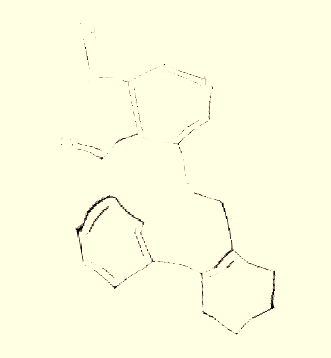 COc1cncc(OCC2=C(c3ccccc3)CCCC2)c1C=O